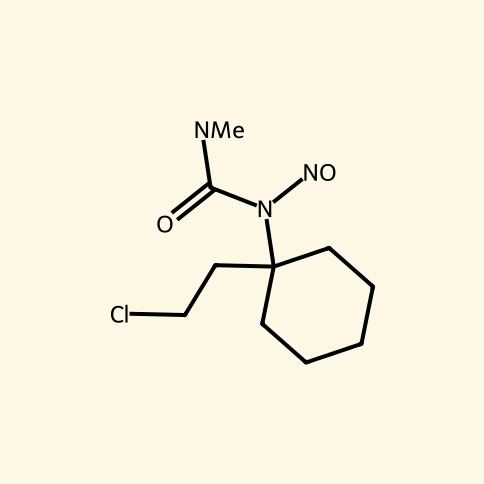 CNC(=O)N(N=O)C1(CCCl)CCCCC1